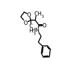 CC(C(=O)NCCc1ccccc1)C1(C)OCCO1